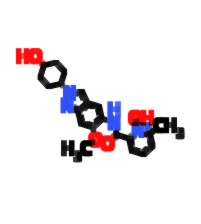 COc1cc2nn([C@H]3CC[C@H](O)CC3)cc2cc1NC(=O)c1cccc(C)[n+]1O